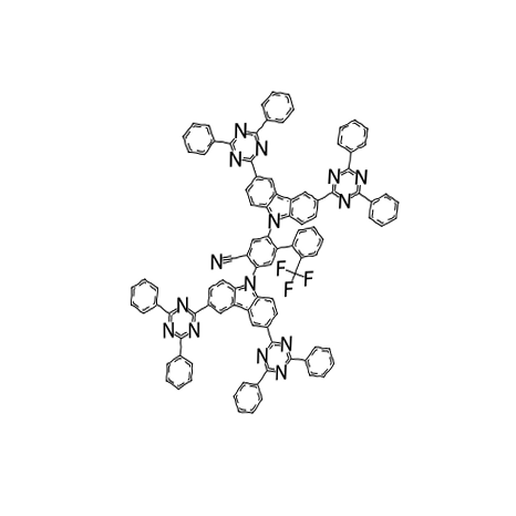 N#Cc1cc(-n2c3ccc(-c4nc(-c5ccccc5)nc(-c5ccccc5)n4)cc3c3cc(-c4nc(-c5ccccc5)nc(-c5ccccc5)n4)ccc32)c(-c2ccccc2C(F)(F)F)cc1-n1c2ccc(-c3nc(-c4ccccc4)nc(-c4ccccc4)n3)cc2c2cc(-c3nc(-c4ccccc4)nc(-c4ccccc4)n3)ccc21